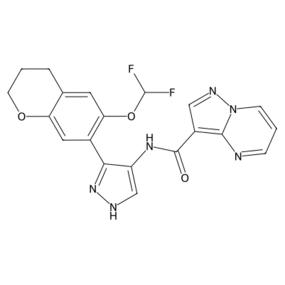 O=C(Nc1c[nH]nc1-c1cc2c(cc1OC(F)F)CCCO2)c1cnn2cccnc12